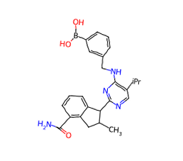 CC(C)c1cnc(C2c3cccc(C(N)=O)c3CC2C)nc1NCc1cccc(B(O)O)c1